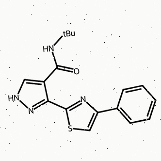 CC(C)(C)NC(=O)c1c[nH]nc1-c1nc(-c2ccccc2)cs1